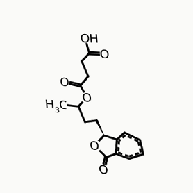 CC(CC[C@@H]1OC(=O)c2ccccc21)OC(=O)CCC(=O)O